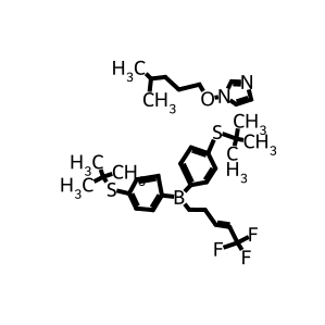 CC(C)(C)Sc1ccc(B(CCC=CC(F)(F)F)c2ccc(SC(C)(C)C)cc2)cc1.CC(C)CCCOn1ccnc1